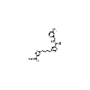 CNC(=O)c1cn(CCCCn2cc(C(O)NCc3cc(C(F)(F)F)ccn3)nn2)nn1